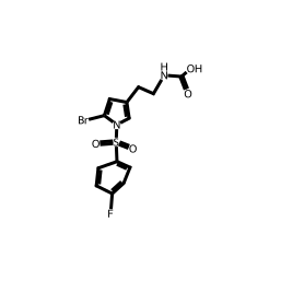 O=C(O)NCCc1cc(Br)n(S(=O)(=O)c2ccc(F)cc2)c1